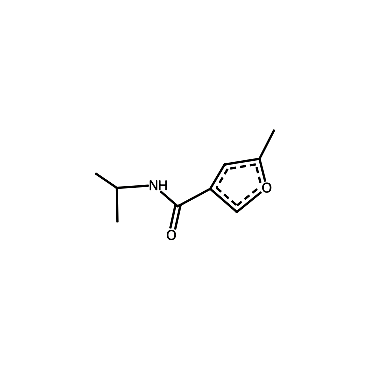 Cc1cc(C(=O)NC(C)C)co1